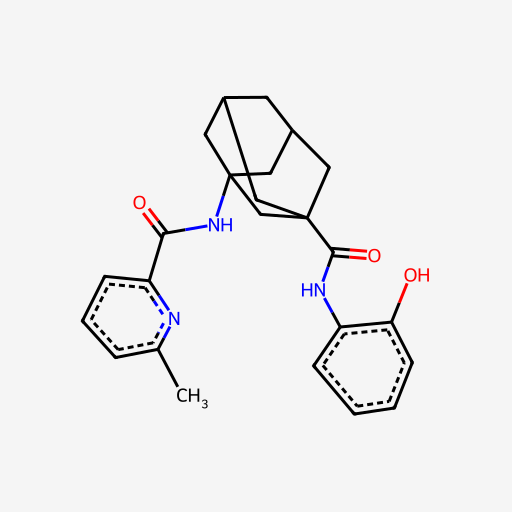 Cc1cccc(C(=O)NC23CC4CC(C2)CC(C(=O)Nc2ccccc2O)(C4)C3)n1